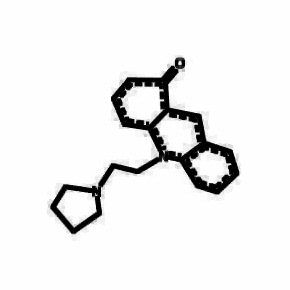 O=c1cccc2n(CCN3CCCC3)c3ccccc3cc1-2